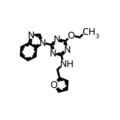 CCOc1nc(NCc2ccco2)nc(-n2cnc3ccccc32)n1